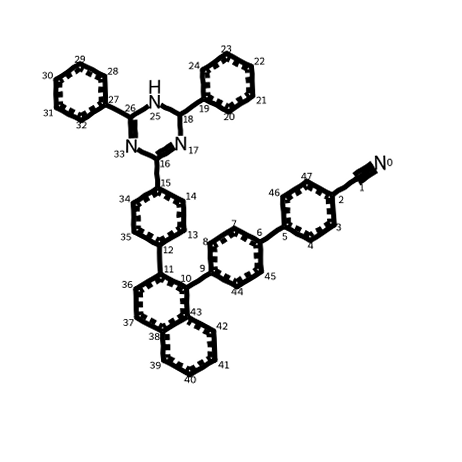 N#Cc1ccc(-c2ccc(-c3c(-c4ccc(C5=NC(c6ccccc6)NC(c6ccccc6)=N5)cc4)ccc4ccccc34)cc2)cc1